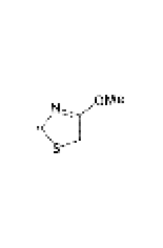 COC1=N[C]SC1